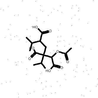 CC(=O)OC(C(=O)O)C(CC(C(=O)O)C(C)C)(C(=O)O)C(C)C